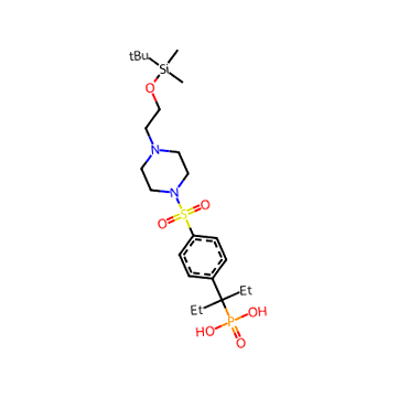 CCC(CC)(c1ccc(S(=O)(=O)N2CCN(CCO[Si](C)(C)C(C)(C)C)CC2)cc1)P(=O)(O)O